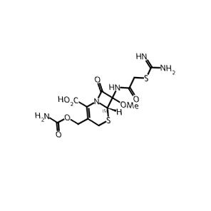 COC1(NC(=O)CSC(=N)N)C(=O)N2C(C(=O)O)=C(COC(N)=O)CS[C@H]21